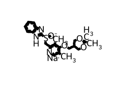 Cc1cnc(C[S+]([O-])c2nc3ccccc3[nH]2)c(C)c1OCC1COC(C)(C)OC1.[Na]